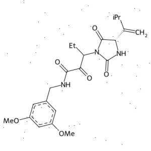 C=C(C(C)C)[C@@H]1NC(=O)N(C(CC)C(=O)C(=O)NCc2cc(OC)cc(OC)c2)C1=O